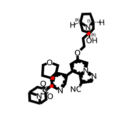 N#Cc1cnn2cc(OCCCN3[C@@H]4CC[C@H]3C[C@@H](O)C4)cc(-c3ccc(N4CC5CC(C4)N5S(=O)(=O)CC4CCOCC4)nc3)c12